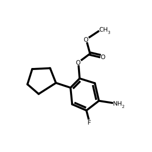 COC(=O)Oc1cc(N)c(F)cc1C1CCCC1